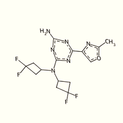 Cc1nc(-c2nc(N)nc(N(C3CC(F)(F)C3)C3CC(F)(F)C3)n2)co1